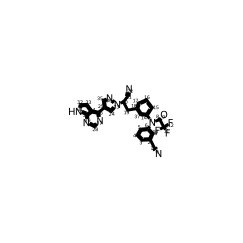 N#Cc1cccc(N(C(=O)C(F)(F)F)c2cccc(CC(C#N)n3cc(-c4ncnc5[nH]ccc45)cn3)c2)c1